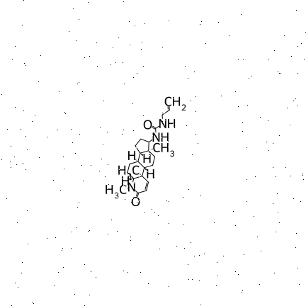 C=CCNC(=O)NC1CC[C@H]2[C@@H]3CC[C@H]4N(C)C(=O)C=C[C@]4(C)[C@H]3CC[C@]12C